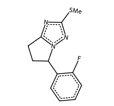 CSc1nc2n(n1)C(c1ccccc1F)CC2